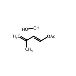 C=C(C)C=COC(C)=O.OO